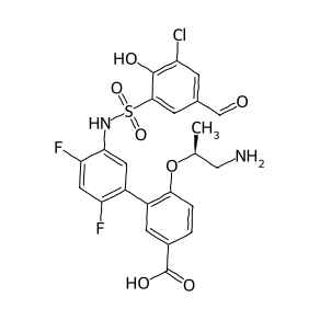 C[C@@H](CN)Oc1ccc(C(=O)O)cc1-c1cc(NS(=O)(=O)c2cc(C=O)cc(Cl)c2O)c(F)cc1F